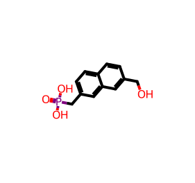 O=P(O)(O)Cc1ccc2ccc(CO)cc2c1